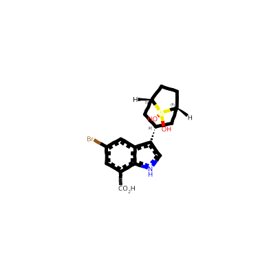 O=C(O)c1cc(Br)cc2c([C@H]3C[C@H]4CC[C@@H](C3)S4(O)O)c[nH]c12